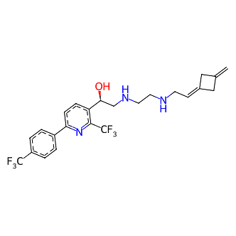 C=C1CC(=CCNCCNC[C@H](O)c2ccc(-c3ccc(C(F)(F)F)cc3)nc2C(F)(F)F)C1